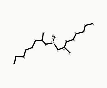 CCCCCCC(C)CN(O)CC(C)CCCCCC